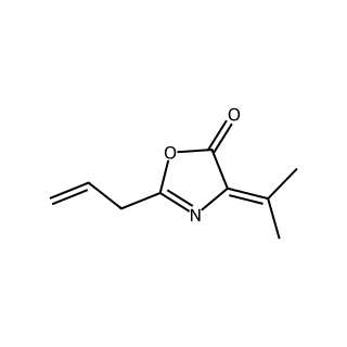 C=CCC1=NC(=C(C)C)C(=O)O1